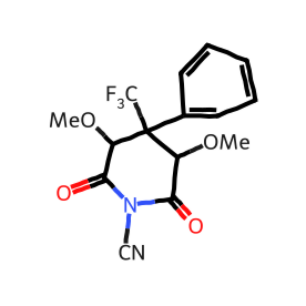 COC1C(=O)N(C#N)C(=O)C(OC)C1(c1ccccc1)C(F)(F)F